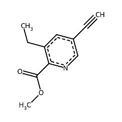 C#Cc1cnc(C(=O)OC)c(CC)c1